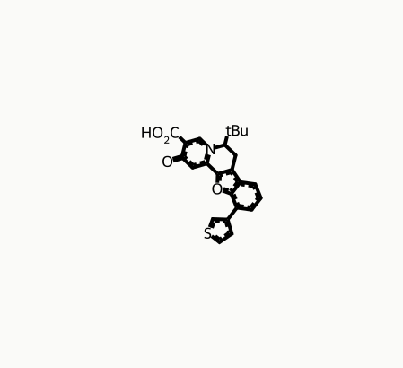 CC(C)(C)C1Cc2c(oc3c(-c4ccsc4)cccc23)-c2cc(=O)c(C(=O)O)cn21